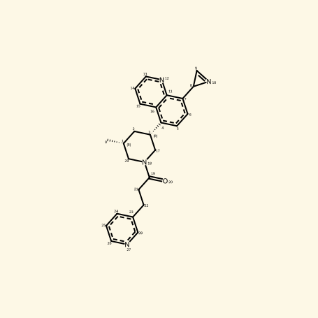 C[C@@H]1C[C@H](c2ccc(C3C=N3)c3ncccc23)CN(C(=O)CCc2cccnc2)C1